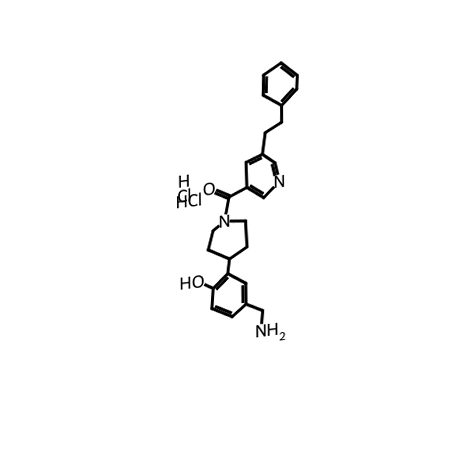 Cl.Cl.NCc1ccc(O)c(C2CCN(C(=O)c3cncc(CCc4ccccc4)c3)CC2)c1